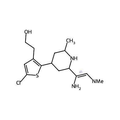 CN/C=C(\N)C1CC(c2sc(Cl)cc2CCO)CC(C)N1